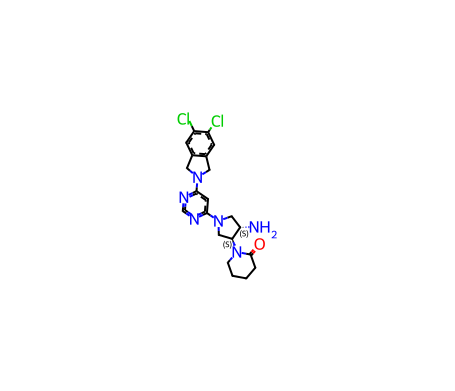 N[C@H]1CN(c2cc(N3Cc4cc(Cl)c(Cl)cc4C3)ncn2)C[C@@H]1N1CCCCC1=O